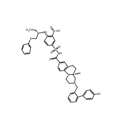 CC[C@H](CSc1ccccc1)Nc1ccc(S(=O)(=O)NC(=O)c2ccc3c(c2)CC[C@@H]2CN(Cc4ccccc4-c4ccc(Cl)cc4)CCN32)cc1[N+](=O)[O-]